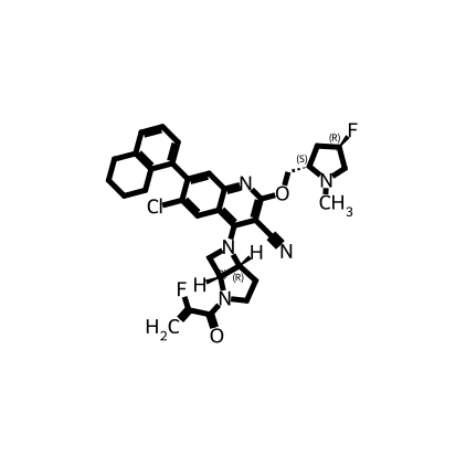 C=C(F)C(=O)N1CC[C@@H]2[C@H]1CN2c1c(C#N)c(OC[C@@H]2C[C@@H](F)CN2C)nc2cc(-c3cccc4c3CCCC4)c(Cl)cc12